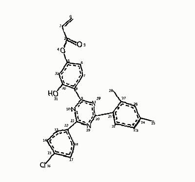 C=CC(=O)Oc1ccc(-c2nc(-c3ccc(Cl)cc3)nc(-c3ccc(C)cc3C)n2)c(O)c1